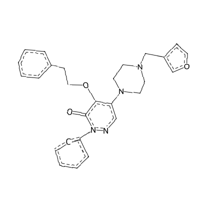 O=c1c(OCCc2ccccc2)c(N2CCN(Cc3ccoc3)CC2)cnn1-c1ccccc1